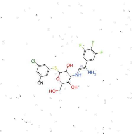 N#Cc1cc(Cl)cc(SC2OC(CO)C(O)C(N/C=C(\N)c3cc(F)c(F)c(F)c3)C2O)c1